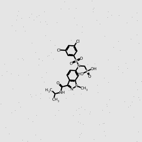 CC(C)NC(=O)c1nn(C)c2cc(N(CP(=O)(O)O)S(=O)(=O)c3cc(Cl)cc(Cl)c3)ccc12